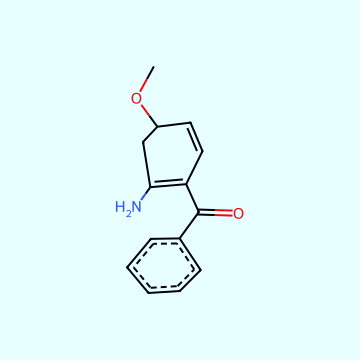 COC1C=CC(C(=O)c2ccccc2)=C(N)C1